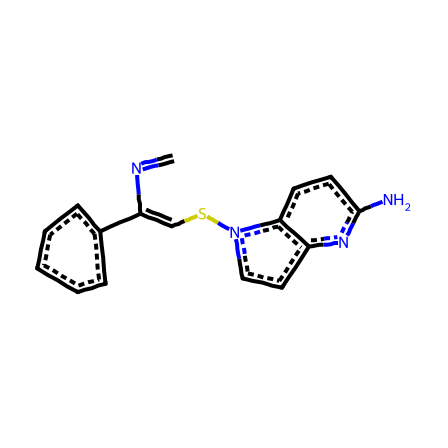 C=N/C(=C\Sn1ccc2nc(N)ccc21)c1ccccc1